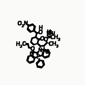 C=CCOC(=O)C(N1C(=O)[C@H]([C@@H](C)O[SiH](C)C(C)(C)C)[C@H]1[C@H]1CCCC(C(O)c2ccc([N+](=O)[O-])cc2)C1=O)=P(c1ccccc1)(c1ccccc1)c1ccccc1